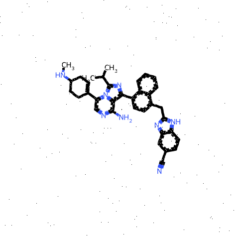 CNC1CC=C(c2cnc(N)c3c(-c4ccc(Cc5nc6cc(C#N)ccc6[nH]5)c5ccccc45)nc(C(C)C)n23)CC1